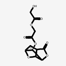 O=C(CO)OCC(=O)O[C@@H]1C2CC3C(=O)OC1C3O2